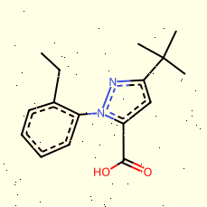 CCc1ccccc1-n1nc(C(C)(C)C)cc1C(=O)O